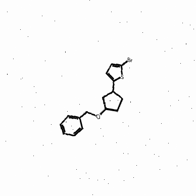 Brc1ccc(C2CCC(OCc3ccccc3)C2)s1